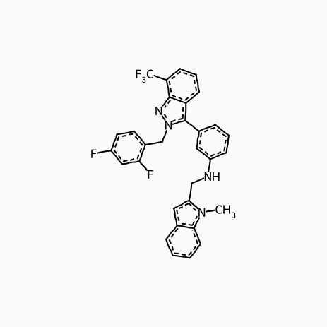 Cn1c(CNc2cccc(-c3c4cccc(C(F)(F)F)c4nn3Cc3ccc(F)cc3F)c2)cc2ccccc21